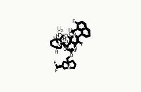 C#Cc1c(F)ccc2cccc(-c3nc4c5c(nc(OCC67CCCN6CC(=C(F)F)C7)nc5c3F)N3C[C@H]5CC[C@@H]([C@H]3[C@H](C)O4)N5C(=O)OC(C)(C)C)c12